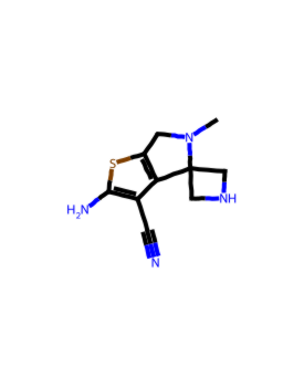 CN1Cc2sc(N)c(C#N)c2C12CNC2